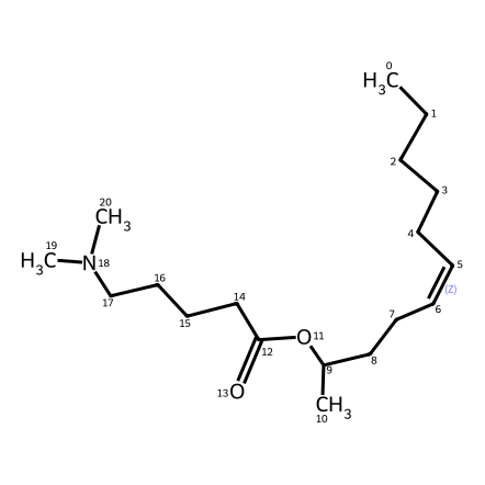 CCCCC/C=C\CCC(C)OC(=O)CCCCN(C)C